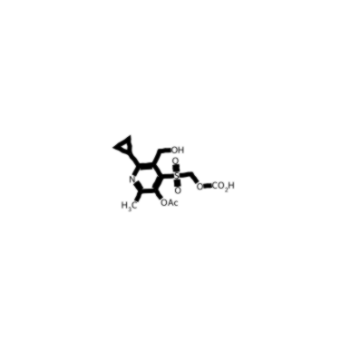 CC(=O)Oc1c(C)nc(C2CC2)c(CO)c1S(=O)(=O)COC(=O)O